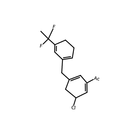 CC(=O)C1=CC(Cl)CC(CC2=CCCC(C(C)(F)F)=C2)=C1